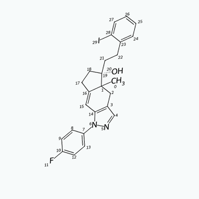 CC12Cc3cnn(-c4ccc(F)cc4)c3C=C1CC[C@@]2(O)CCc1ccccc1I